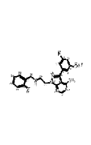 Nc1ncnc2c1c(-c1cc(O)cc(F)c1)nn2CCNCc1ccccc1F